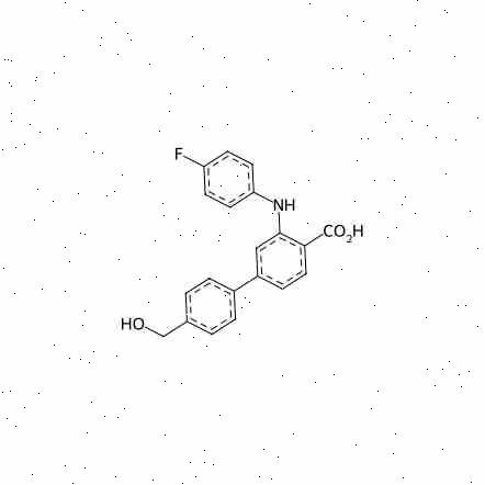 O=C(O)c1ccc(-c2ccc(CO)cc2)cc1Nc1ccc(F)cc1